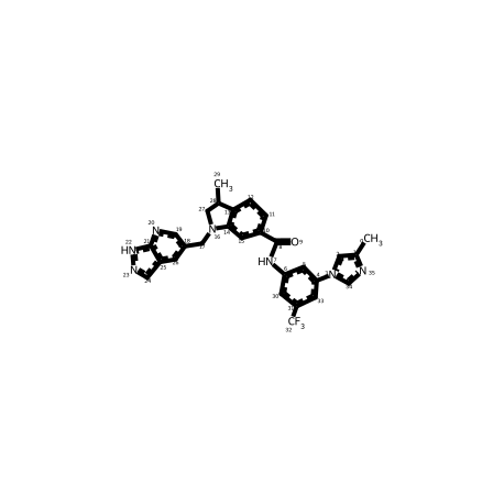 Cc1cn(-c2cc(NC(=O)c3ccc4c(c3)N(Cc3cnc5[nH]ncc5c3)CC4C)cc(C(F)(F)F)c2)cn1